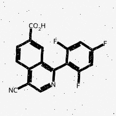 N#Cc1cnc(-c2c(F)cc(F)cc2F)c2cc(C(=O)O)ccc12